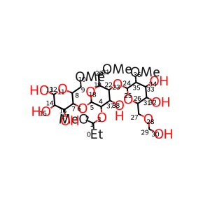 CCC(OC)OC1C(OC2C(COC)OC(O)C(O)C2O)OC(COC)C(OC2OC(COCO)C(O)C(O)C2OC)C1O